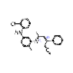 C=C=C/C(=C\C(C)=N\c1cc(Nc2ccccc2Cl)ccc1C)c1ccccc1